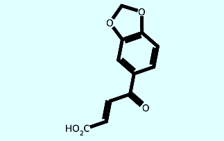 O=C(O)/C=C/C(=O)c1ccc2c(c1)OCO2